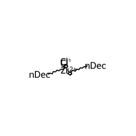 CCCCCCCCCCCCCCCCCCC1=[C]([Zr+2][C]2=C(CCCCCCCCCCCCCCCCCC)C=CC2)CC=C1.[Cl-].[Cl-]